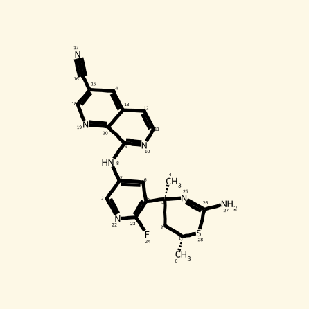 C[C@@H]1C[C@@](C)(c2cc(Nc3nccc4cc(C#N)cnc34)cnc2F)N=C(N)S1